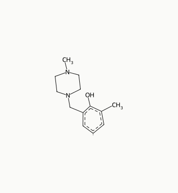 Cc1c[c]cc(CN2CCN(C)CC2)c1O